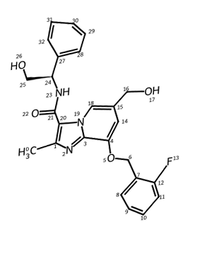 Cc1nc2c(OCc3ccccc3F)cc(CO)cn2c1C(=O)N[C@@H](CO)c1ccccc1